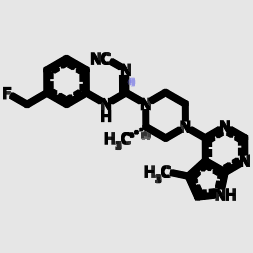 Cc1c[nH]c2ncnc(N3CCN(/C(=N/C#N)Nc4cccc(CF)c4)[C@@H](C)C3)c12